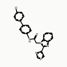 O=C(Cn1c(-c2cscn2)nc2ccccc21)Nc1ccc(-c2ccc(Cl)cc2)cc1